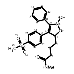 CNC(=O)CCCC1ON(O)C(c2ccccc2)=C1c1ccc(S(C)(=O)=O)cc1